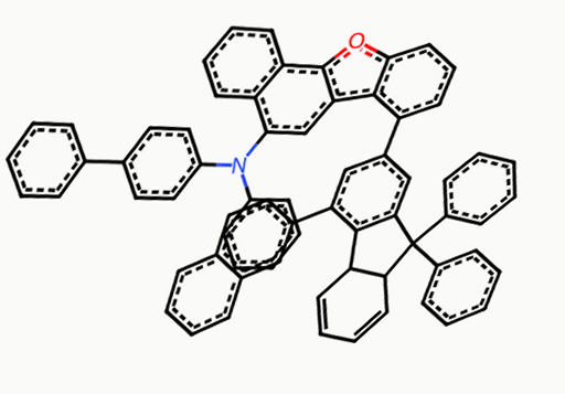 C1=CC2c3c(-c4ccc5ccccc5c4)cc(-c4cccc5oc6c7ccccc7c(N(c7ccccc7)c7ccc(-c8ccccc8)cc7)cc6c45)cc3C(c3ccccc3)(c3ccccc3)C2C=C1